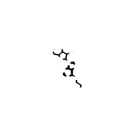 OCCNc1ncnc2c1ncn2C1OC(CO)C(O)C1O